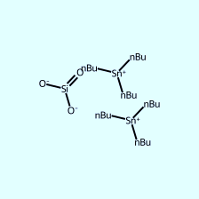 CCC[CH2][Sn+]([CH2]CCC)[CH2]CCC.CCC[CH2][Sn+]([CH2]CCC)[CH2]CCC.O=[Si]([O-])[O-]